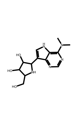 CN(C)c1ncnc2c(C3NC(CO)C(O)C3O)c[nH]c12